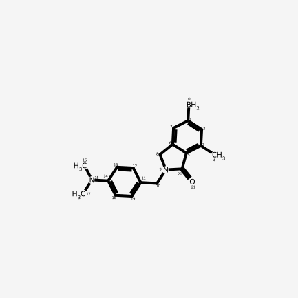 Bc1cc(C)c2c(c1)CN(Cc1ccc(N(C)C)cc1)C2=O